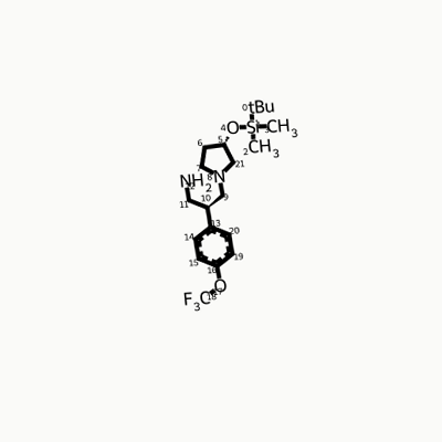 CC(C)(C)[Si](C)(C)O[C@H]1CCN(C[C@H](CN)c2ccc(OC(F)(F)F)cc2)C1